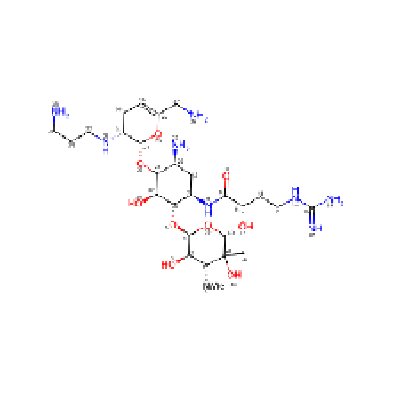 CN[C@@H]1[C@@H](O)[C@@H](O[C@H]2[C@H](NC(=O)[C@@H](O)CCNC(=N)N)C[C@H](N)C(O[C@H]3OC(CN)=CC[C@H]3NCCCN)[C@@H]2O)OC[C@]1(C)O